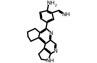 N=Cc1cc(-c2nc3cnc4c(c3c3c2CCCC3)CCN4)ccc1N